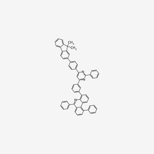 CC1(C)c2ccccc2-c2ccc(-c3ccc(-c4cc(-c5cccc(-c6cccc7c6nc(-c6ccccc6)c6cccc(-c8ccccc8)c67)c5)nc(-c5ccccc5)n4)cc3)cc21